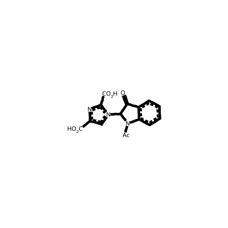 CC(=O)N1c2ccccc2C(=O)C1n1cc(C(=O)O)nc1C(=O)O